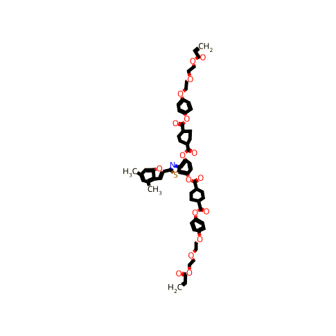 C=CC(=O)OCCOCCOc1ccc(OC(=O)C2CCC(C(=O)Oc3ccc(OC(=O)C4CCC(C(=O)Oc5ccc(OCCOCCOC(=O)C=C)cc5)CC4)c4sc(-c5cc6c(C)cc(C)cc6o5)nc34)CC2)cc1